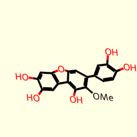 COc1c(-c2ccc(O)c(O)c2)cc2oc3cc(O)c(O)cc3c2c1O